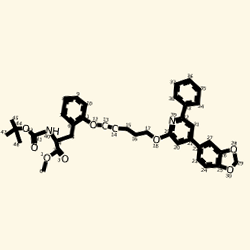 COC(=O)C(Cc1ccccc1OCCCCCOc1cc(-c2ccc3c(c2)OCO3)cc(-c2ccccc2)n1)NC(=O)OC(C)(C)C